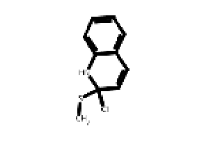 CSC1(Cl)C=Cc2ccccc2N1